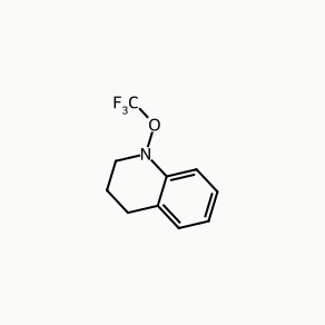 FC(F)(F)ON1CCCc2ccccc21